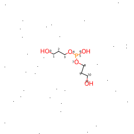 OCCCOP(O)OCCCO